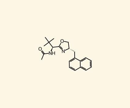 CC(=O)N[C@H](C1=N[C@@H](Cc2cccc3ccccc23)CO1)C(C)(C)C